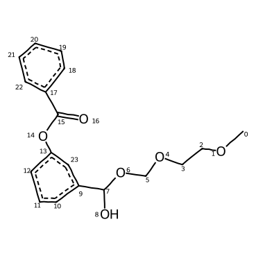 COCCOCOC(O)c1cccc(OC(=O)c2ccccc2)c1